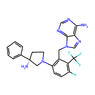 Nc1ncnc2c1ncn2Cc1c(N2CC[C@](N)(c3ccccc3)C2)ccc(F)c1C(F)(F)F